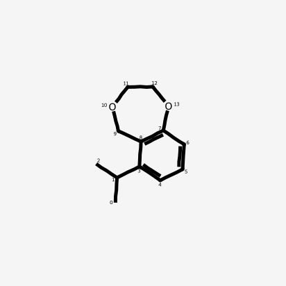 CC(C)c1cccc2c1COCCO2